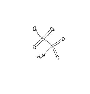 NS(=O)(=O)S(=O)(=O)Cl